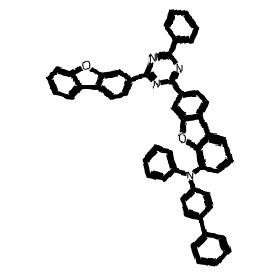 c1ccc(-c2ccc(N(c3ccccc3)c3cccc4c3oc3cc(-c5nc(-c6ccccc6)nc(-c6ccc7c(c6)oc6ccccc67)n5)ccc34)cc2)cc1